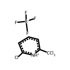 Clc1cccc(C(Cl)(Cl)Cl)[nH+]1.F[B-](F)(F)F